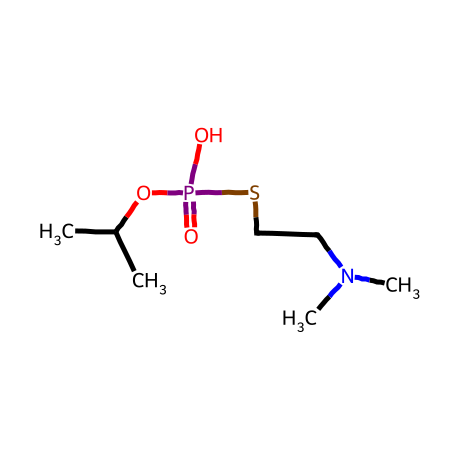 CC(C)OP(=O)(O)SCCN(C)C